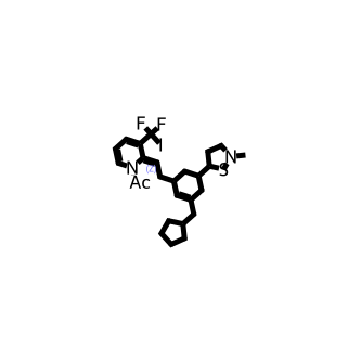 CC(=O)N1C=CC=C(C(F)(F)I)/C1=C/CC1C=C(CC2CCCC2)CC(C2CCN(C)S2)C1